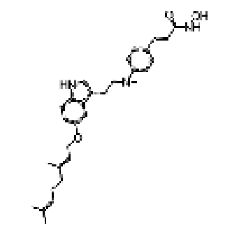 CC(C)=CCC/C(C)=C/COc1ccc2[nH]cc(CCNc3ccc(/C=C/C(=O)NO)cc3)c2c1